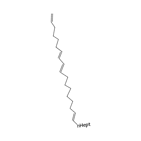 C=CCCCCC=CC=CCCCCCCC=CCCCCCCC